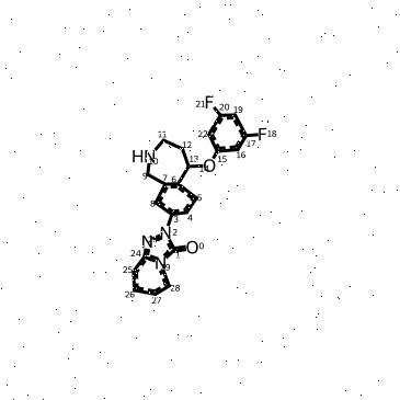 O=c1n(-c2ccc3c(c2)CNCCC3Oc2cc(F)cc(F)c2)nc2ccccn12